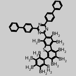 Bc1c(B)c(B)c(-c2c(B)c(B)c(B)c3c2sc2c(B)c(-c4nc(-c5ccc(-c6ccccc6)cc5)nc(-c5ccc(-c6ccccc6)cc5)n4)c(B)c(B)c23)c(B)c1B